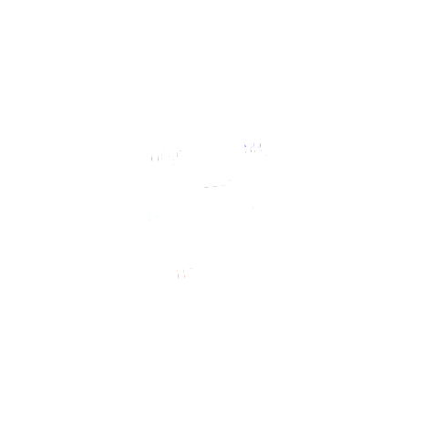 Nc1ccc(O)c(F)c1C(=O)O